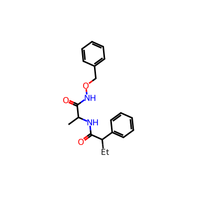 CCC(C(=O)NC(C)C(=O)NOCc1ccccc1)c1ccccc1